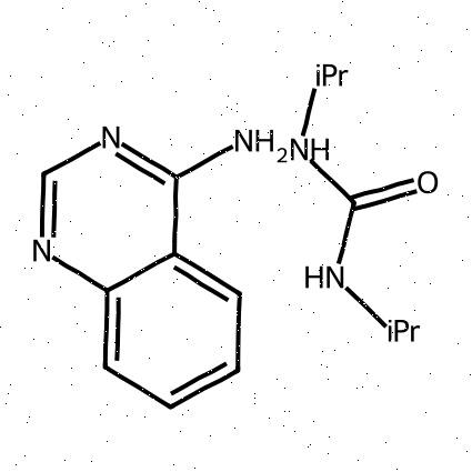 CC(C)NC(=O)NC(C)C.Nc1ncnc2ccccc12